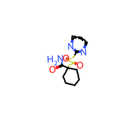 NC(=O)C1(S(=O)(=O)c2ncccn2)CCCCC1